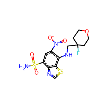 NS(=O)(=O)c1cc([N+](=O)[O-])c(NCC2(F)CCOCC2)c2scnc12